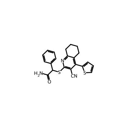 N#Cc1c(SC(C(N)=O)c2ccccc2)nc2c(c1-c1cccs1)CCCC2